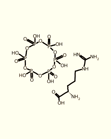 N=C(N)NCCC[C@H](N)C(=O)O.O=P1(O)OP(=O)(O)OP(=O)(O)OP(=O)(O)OP(=O)(O)OP(=O)(O)O1